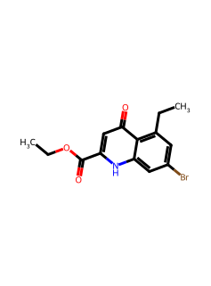 CCOC(=O)c1cc(=O)c2c(CC)cc(Br)cc2[nH]1